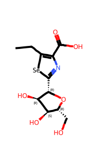 CCc1[se]c([C@@H]2O[C@H](CO)[C@@H](O)[C@H]2O)nc1C(=O)O